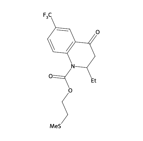 CCC1CC(=O)c2cc(C(F)(F)F)ccc2N1C(=O)OCCSC